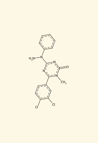 Cn1c(-c2ccc(Cl)c(Cl)c2)nc(N(N)c2ccccc2)nc1=O